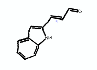 O=C/C=C/c1cc2ccccc2[nH]1